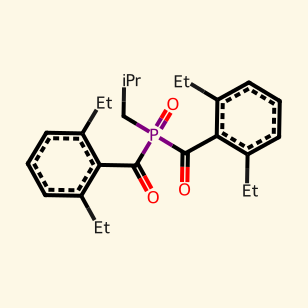 CCc1cccc(CC)c1C(=O)P(=O)(CC(C)C)C(=O)c1c(CC)cccc1CC